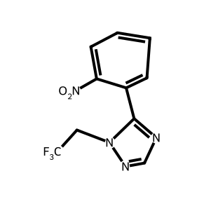 O=[N+]([O-])c1ccccc1-c1ncnn1CC(F)(F)F